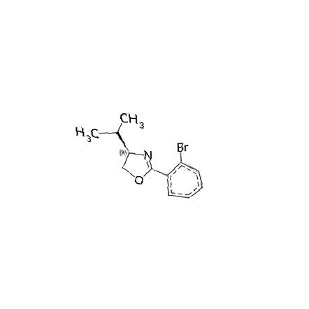 CC(C)[C@@H]1COC(c2ccccc2Br)=N1